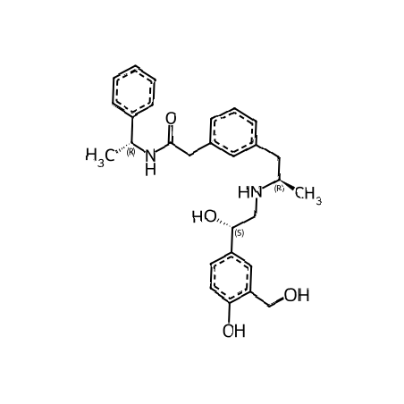 C[C@H](Cc1cccc(CC(=O)N[C@H](C)c2ccccc2)c1)NC[C@@H](O)c1ccc(O)c(CO)c1